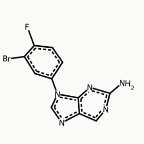 Nc1ncc2ncn(-c3ccc(F)c(Br)c3)c2n1